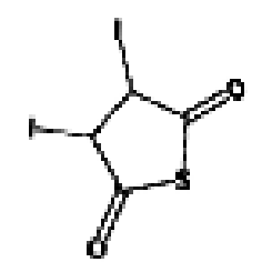 O=C1SC(=O)C(I)C1I